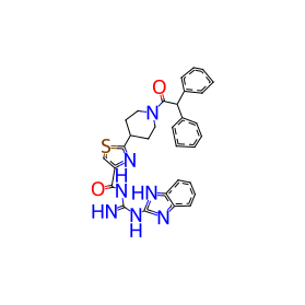 N=C(NC(=O)c1csc(C2CCN(C(=O)C(c3ccccc3)c3ccccc3)CC2)n1)Nc1nc2ccccc2[nH]1